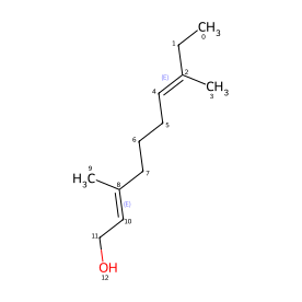 CC/C(C)=C/CCC/C(C)=C/CO